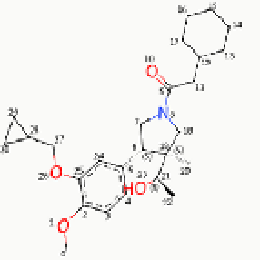 COc1ccc([C@@H]2CN(C(=O)CC3CCCCC3)C[C@@]2(C)[C@@H](C)O)cc1OCC1CC1